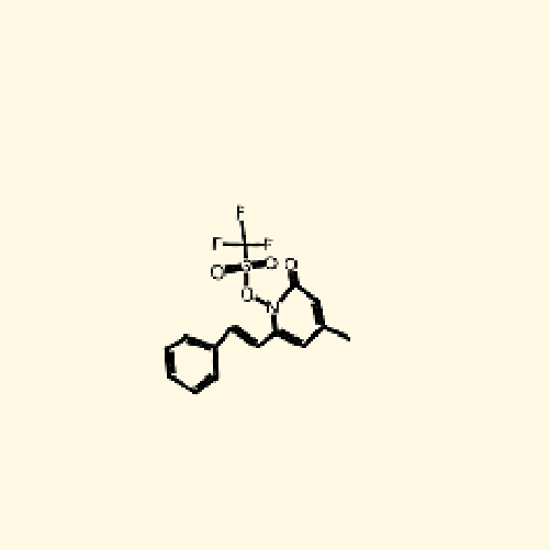 Cc1cc(/C=C/c2ccccc2)n(OS(=O)(=O)C(F)(F)F)c(=O)c1